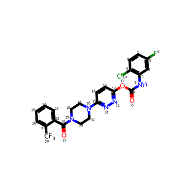 O=C(Nc1cc(F)ccc1Cl)Oc1ccc(N2CCN(C(=O)c3ccccc3C(F)(F)F)CC2)nn1